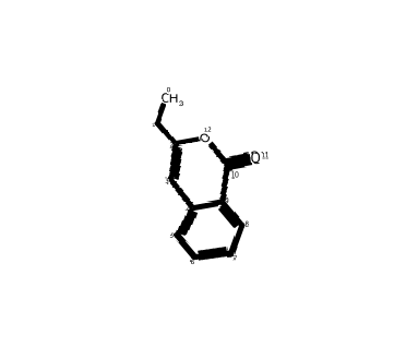 CCc1cc2ccccc2c(=O)o1